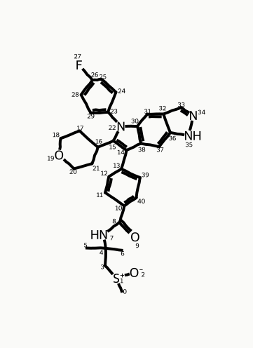 C[S+]([O-])CC(C)(C)NC(=O)c1ccc(-c2c(C3CCOCC3)n(-c3ccc(F)cc3)c3cc4cn[nH]c4cc23)cc1